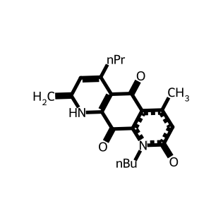 C=C1C=C(CCC)C2=C(N1)C(=O)c1c(c(C)cc(=O)n1CCCC)C2=O